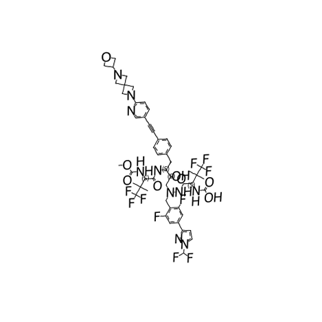 COC(=O)N[C@H](C(=O)N[C@@H](Cc1ccc(C#Cc2ccc(N3CC4(C3)CN(C3COC3)C4)nc2)cc1)[C@@H](O)CN(Cc1c(F)cc(-c2ccn(C(F)F)n2)cc1F)NC(=O)[C@@H](NC(=O)O)C(C)(C)C(F)(F)F)C(C)(C)C(F)(F)F